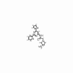 CN(C)[C@@H]1CCN(CC(=O)Nc2cc(-n3cccn3)nc(-c3ccccn3)n2)C1